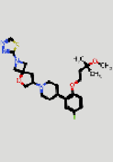 COC(C)(C)CCOc1ccc(F)cc1C1CCN(C2COC3(C2)CN(c2nncs2)C3)CC1